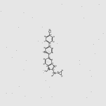 CN(c1nc2cc(-c3ccc(-c4ccc(Cl)cc4)cn3)ccc2n1C)C1CC1